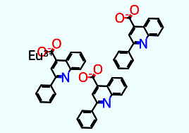 O=C([O-])c1cc(-c2ccccc2)nc2ccccc12.O=C([O-])c1cc(-c2ccccc2)nc2ccccc12.O=C([O-])c1cc(-c2ccccc2)nc2ccccc12.[Eu+3]